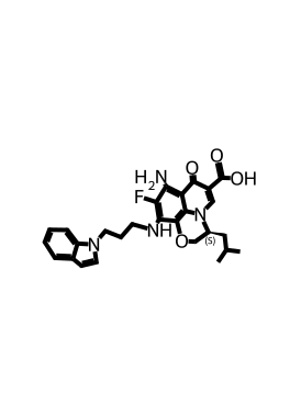 CC(C)C[C@H]1COc2c(NCCCn3ccc4ccccc43)c(F)c(N)c3c(=O)c(C(=O)O)cn1c23